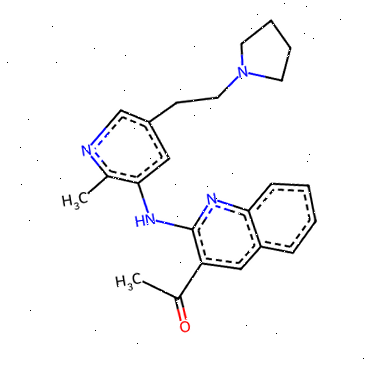 CC(=O)c1cc2ccccc2nc1Nc1cc(CCN2CCCC2)cnc1C